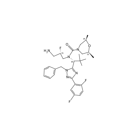 C[C@@H]1CN(C(=O)N(C[C@@H](F)CN)[C@@H](c2nc(-c3cc(F)ccc3F)nn2Cc2ccccc2)C(C)(C)C)C[C@H](C)O1